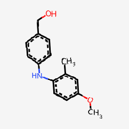 COc1ccc(Nc2ccc(CO)cc2)c(C)c1